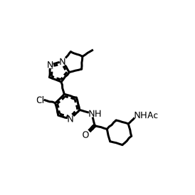 CC(=O)NC1CCCC(C(=O)Nc2cc(-c3cnn4c3CC(C)C4)c(Cl)cn2)C1